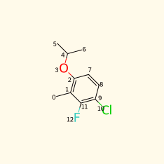 Cc1c(OC(C)C)ccc(Cl)c1F